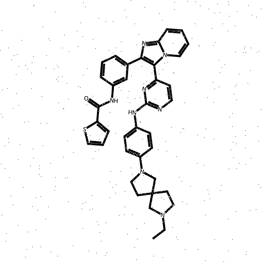 CCN1CCC2(CCN(c3ccc(Nc4nccc(-c5c(-c6cccc(NC(=O)c7cccs7)c6)nc6ccccn56)n4)cc3)C2)C1